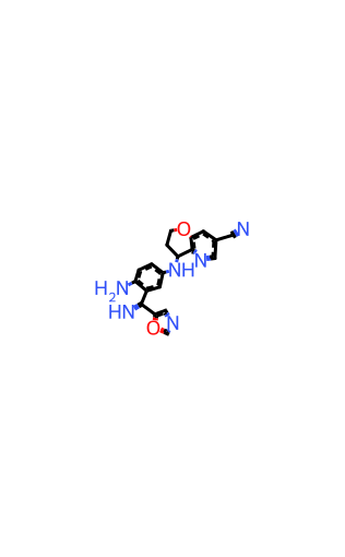 N#Cc1cnc2c(c1)OCCC2Nc1ccc(N)c(C(=N)c2cnco2)c1